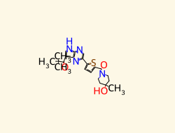 CC1(O)CCN(C(=O)c2ccc(-c3cnc4[nH]cc(C(=O)C(C)(C)C)c4n3)s2)CC1